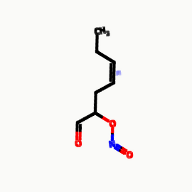 CC/C=C\CC(C=O)ON=O